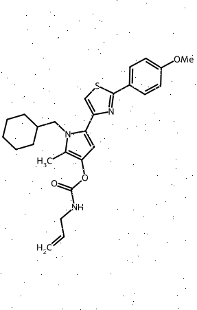 C=CCNC(=O)Oc1cc(-c2csc(-c3ccc(OC)cc3)n2)n(CC2CCCCC2)c1C